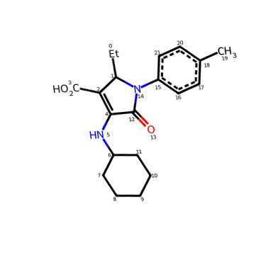 CCC1C(C(=O)O)=C(NC2CCCCC2)C(=O)N1c1ccc(C)cc1